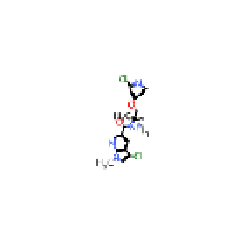 Cn1cc(Cl)c2cc(C(=O)NC(C)(C)COc3ccnc(Cl)c3)cnc21